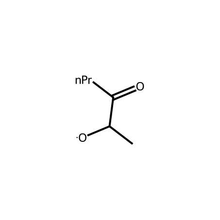 CCCC(=O)C(C)[O]